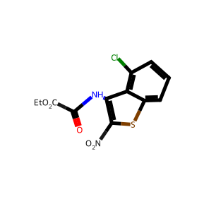 CCOC(=O)C(=O)Nc1c([N+](=O)[O-])sc2cccc(Cl)c12